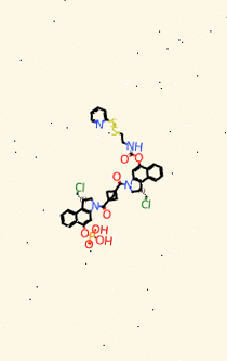 O=C(NCCSSc1ccccn1)Oc1cc2c(c3ccccc13)[C@H](CCl)CN2C(=O)C12CC(C(=O)N3C[C@@H](CCl)c4c3cc(OP(=O)(O)O)c3ccccc43)(C1)C2